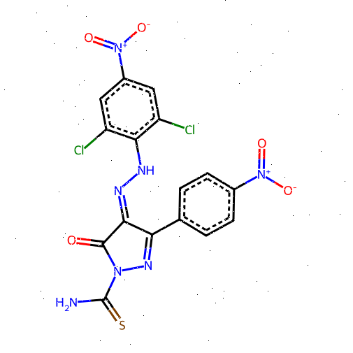 NC(=S)N1N=C(c2ccc([N+](=O)[O-])cc2)/C(=N\Nc2c(Cl)cc([N+](=O)[O-])cc2Cl)C1=O